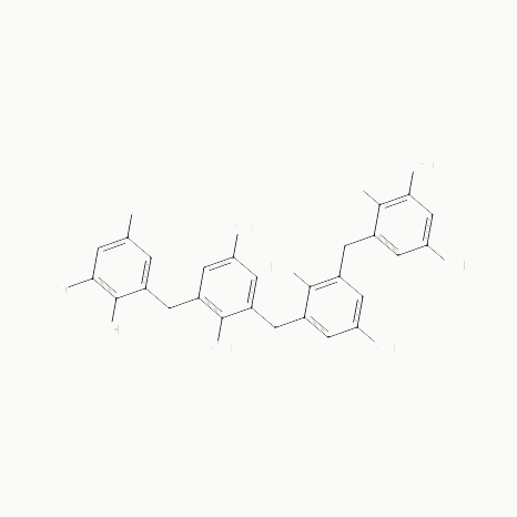 Cc1cc(Cc2cc(C)cc(Cc3cc(C)cc(C(C)(C)C)c3O)c2O)c(O)c(Cc2cc(C)cc(C(C)(C)C)c2O)c1